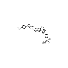 Cc1ccc(-c2ccc(C(=O)NC(Cc3ccc(-c4noc(-c5ccc(NC(=O)OC(C)(C)C)cc5)n4)c(C#N)c3)C(=O)O)o2)cc1